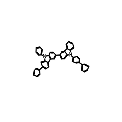 c1ccc(-c2ccc(-n3c4ccccc4c4cc(-c5ccc6c(c5)c5ccc(-c7ccccc7)cc5n6-c5ccccc5)ccc43)cc2)cc1